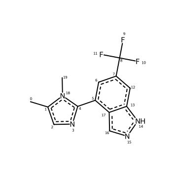 Cc1cnc(-c2cc(C(F)(F)F)cc3[nH]ncc23)n1C